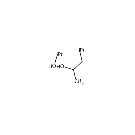 CC(C)CC(C)O.CC(C)O